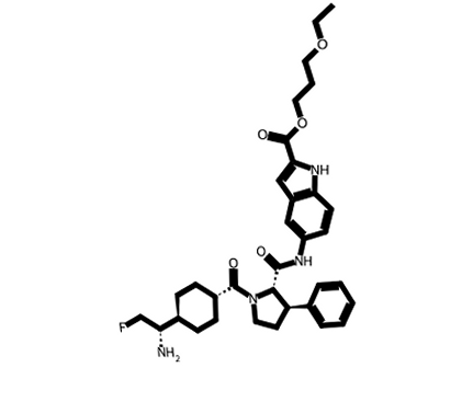 CCOCCCOC(=O)c1cc2cc(NC(=O)[C@@H]3[C@@H](c4ccccc4)CCN3C(=O)[C@H]3CC[C@H]([C@H](N)CF)CC3)ccc2[nH]1